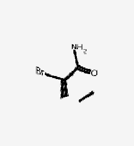 C=C(Br)C(N)=O.CC